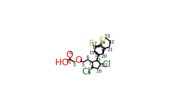 O=C(O)COCCC1C(Cl)CC(Cl)C1c1cc(F)c2c(c1)CCCS2